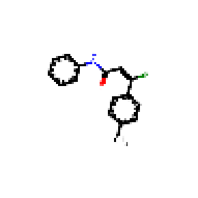 Cc1ccc(/C(F)=C\C(=O)Nc2ccccc2)cc1